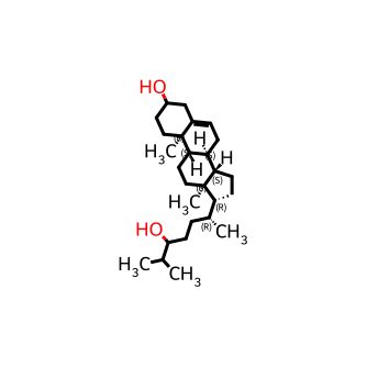 CC(C)C(O)CC[C@@H](C)[C@H]1CC[C@H]2[C@@H]3CC=C4CC(O)CC[C@]4(C)[C@H]3CC[C@]12C